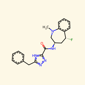 CN1C[C@H](NC(=O)c2nnc(Cc3ccccc3)[nH]2)C[C@@H](F)c2ccccc21